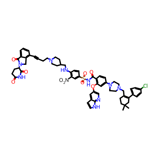 CC1(C)CCC(CN2CCN(c3ccc(C(=O)NS(=O)(=O)c4ccc(NCC5CCN(CCC#Cc6cccc7c6CN(C6CCC(=O)NC6=O)C7=O)CC5)c([N+](=O)[O-])c4)c(Oc4cnc5[nH]ccc5c4)c3)CC2)=C(c2ccc(Cl)cc2)C1